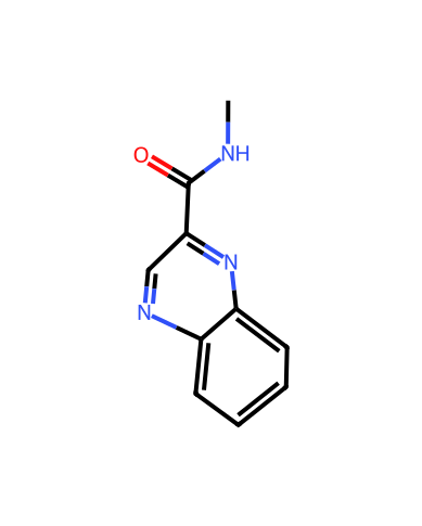 CNC(=O)c1cnc2ccccc2n1